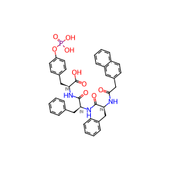 O=C(Cc1ccc2ccccc2c1)N[C@@H](Cc1ccccc1)C(=O)N[C@@H](Cc1ccccc1)C(=O)N[C@@H](Cc1ccc(OP(=O)(O)O)cc1)C(=O)O